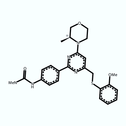 CNC(=O)Nc1ccc(-c2nc(CSc3ccccc3OC)cc(N3CCOC[C@@H]3C)n2)cc1